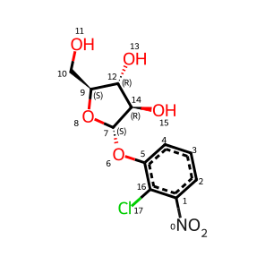 O=[N+]([O-])c1cccc(O[C@@H]2O[C@@H](CO)[C@H](O)[C@H]2O)c1Cl